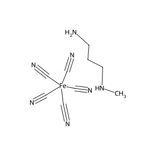 CNCCCN.N#[C][Fe]([C]#N)([C]#N)([C]#N)[C]#N